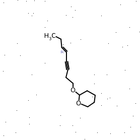 CC/C=C/C#CCCOC1CCCCO1